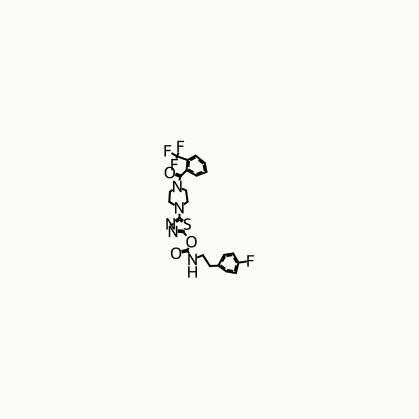 O=C(NCCc1ccc(F)cc1)Oc1nnc(N2CCN(C(=O)c3ccccc3C(F)(F)F)CC2)s1